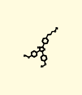 CCOC/C=C/c1ccc(-c2nc(-c3ccc(OC(C)C)cc3)c(-c3ccc(OC(C)C)cc3)[nH]2)cc1